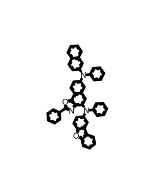 c1ccc(-c2nc3c(N(c4ccccc4)c4ccc5oc6ccccc6c5c4)cc4cc(N(c5ccccc5)c5ccc6ccccc6c5)ccc4c3o2)cc1